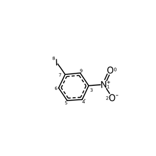 O=[N+]([O-])c1[c]ccc(I)c1